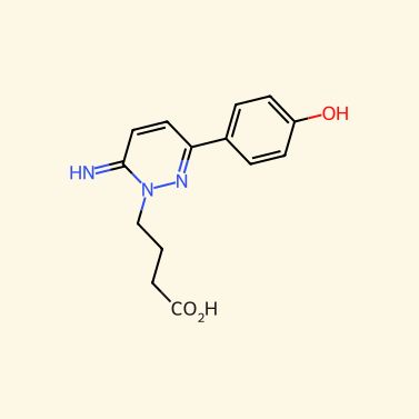 N=c1ccc(-c2ccc(O)cc2)nn1CCCC(=O)O